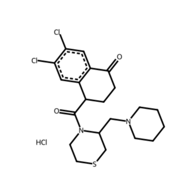 Cl.O=C1CCC(C(=O)N2CCSCC2CN2CCCCC2)c2cc(Cl)c(Cl)cc21